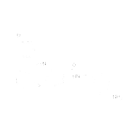 Nc1ccc(CNC(=O)c2ccc3c(c2)N=C(c2ccc(Br)cc2)c2ccccc2S3)cc1